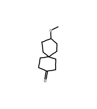 COC1CCC2(CCC(=O)CC2)CC1